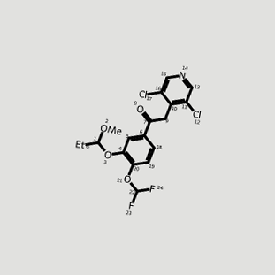 CCC(OC)Oc1cc(C(=O)Cc2c(Cl)cncc2Cl)ccc1OC(F)F